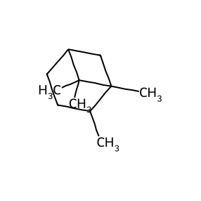 CC1CCC2CC1(C)C2(C)C